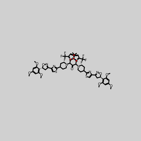 COc1cc(OC)c([C@H]2CC(c3csc(C4CCN(C(Cn5nc(C(F)(F)F)cc5C)C(=O)C(Cn5nc(C(F)(F)F)cc5C)N5CCC(c6nc(C7=NO[C@@H](c8c(OC)cc(OC)cc8OC)C7)cs6)CC5)CC4)n3)=NO2)c(OC)c1